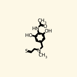 CC(=O)Nc1c(O)cc(CN(C)CC=S)cc1O